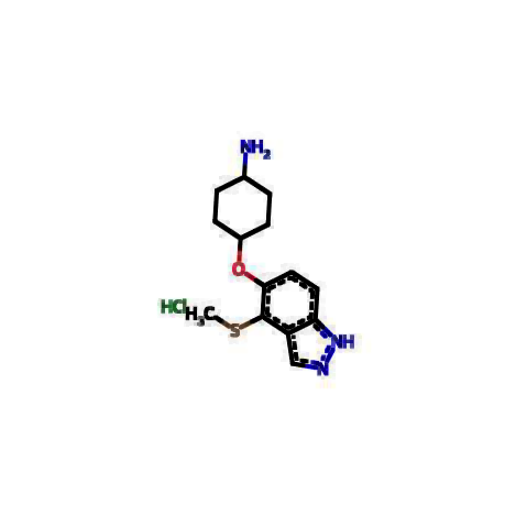 CSc1c(OC2CCC(N)CC2)ccc2[nH]ncc12.Cl